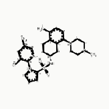 Cc1ccc(N2CCN(C)CC2)c2c1CC[C@@H](NS(=O)(=O)c1cccn1-c1ncc(C(F)(F)F)cc1Cl)C2